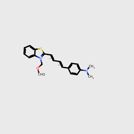 CN(C)c1ccc(/C=C/C=C/c2sc3ccccc3[n+]2COC=O)cc1